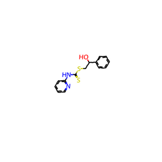 OC(CSC(=S)Nc1ccccn1)c1ccccc1